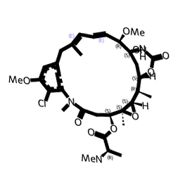 CN[C@H](C)C(=O)O[C@H]1CC(=O)N(C)c2cc(cc(OC)c2Cl)C/C(C)=C/C=C/[C@@H](OC)[C@@]2(O)C[C@H](OC(=O)N2)[C@@H](C)[C@@H]2O[C@@]12C